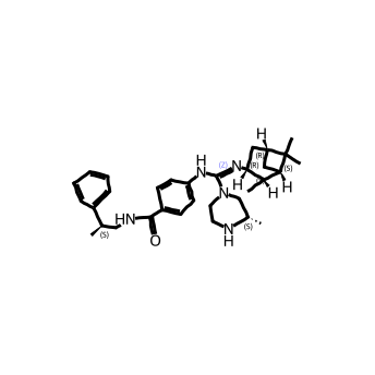 C[C@@H]1[C@H](/N=C(/Nc2ccc(C(=O)NC[C@@H](C)c3ccccc3)cc2)N2CCN[C@@H](C)C2)C[C@H]2C[C@@H]1C2(C)C